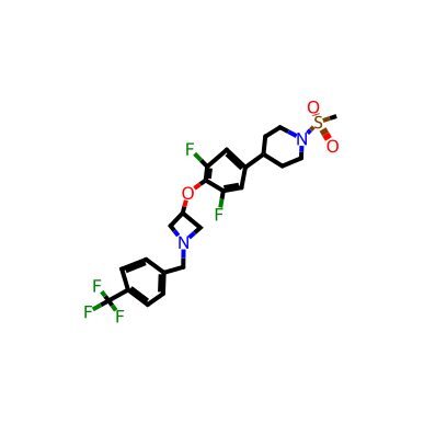 CS(=O)(=O)N1CCC(c2cc(F)c(OC3CN(Cc4ccc(C(F)(F)F)cc4)C3)c(F)c2)CC1